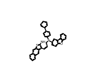 Nc1sc2cc3ccccc3cc2c1/C=C\CN(c1ccc(-c2ccccc2)cc1)c1ccc2oc3ccccc3c2c1